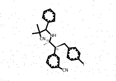 C[C@H](NC(c1ccccc1)C(C)(C)C#N)[C@@H](Cc1ccc(I)cc1)c1cccc(C#N)c1